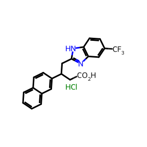 Cl.O=C(O)CC(Cc1nc2cc(C(F)(F)F)ccc2[nH]1)c1ccc2ccccc2c1